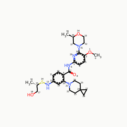 COc1ccc(NC(=O)c2ccc(NS[C@@H](C)CO)cc2N2CCC3(CC2)CC3)nc1N1CCO[C@H](C)C1